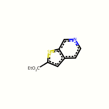 CCOC(=O)c1cc2ccncc2s1